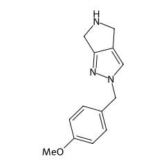 COc1ccc(Cn2cc3c(n2)CNC3)cc1